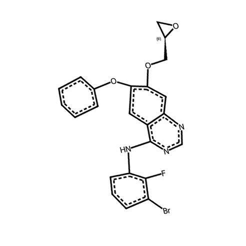 Fc1c(Br)cccc1Nc1ncnc2cc(OC[C@H]3CO3)c(Oc3ccccc3)cc12